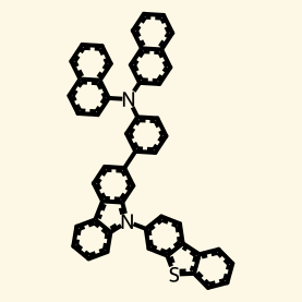 c1cc(-c2ccc3c4ccccc4n(-c4ccc5c(c4)sc4ccccc45)c3c2)cc(N(c2ccc3ccccc3c2)c2cccc3ccccc23)c1